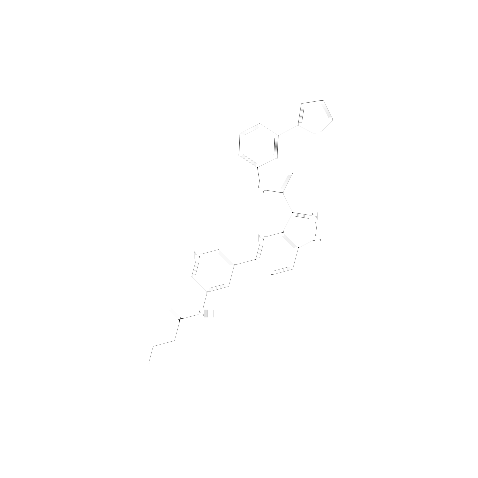 CCCC(=O)Nc1cncc(-c2ccc3[nH]nc(-c4cc5c(-c6cccs6)cccc5[nH]4)c3n2)c1